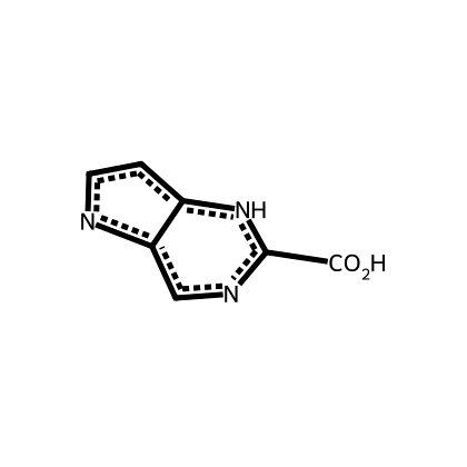 O=C(O)c1ncc2nccc-2[nH]1